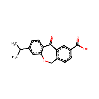 CC(C)c1ccc2c(c1)OCc1ccc(C(=O)O)cc1C2=O